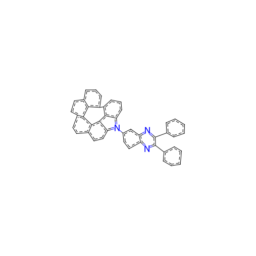 c1ccc(-c2nc3ccc(-n4c5cccc6c5c5c7c(ccc8ccc9cccc-6c9c87)ccc54)cc3nc2-c2ccccc2)cc1